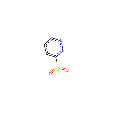 O=[SH](=O)c1cccnn1